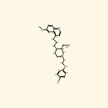 COc1ccc2nccc(CCC[C@@H]3CCN(CCSc4ccc(F)cc4)C[C@@H]3CO)c2c1